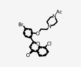 CC(=O)N1CCN(CCOc2cc(Br)ccc2-c2cc(=O)c3cccc(Cl)c3o2)CC1